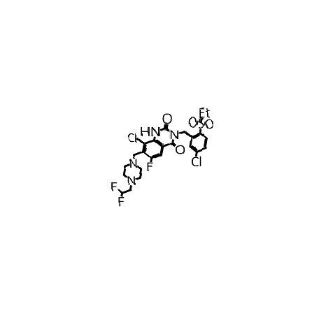 CCS(=O)(=O)c1ccc(Cl)cc1Cn1c(=O)[nH]c2c(Cl)c(CN3CCN(CC(F)F)CC3)c(F)cc2c1=O